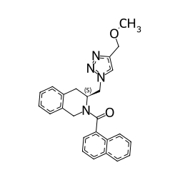 COCc1cn(C[C@@H]2Cc3ccccc3CN2C(=O)c2cccc3ccccc23)nn1